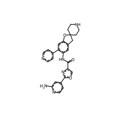 Nc1cc(-c2nc(C(=O)Nc3cc4c(cc3-c3ccncc3)OC3(CCNCC3)C4)co2)ccn1